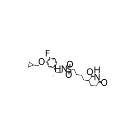 C[C@@H](CNS(=O)(=O)CCCCC1CCC(=O)NC1=O)c1ccc(F)c(OCC2CC2)c1